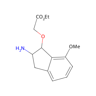 CCOC(=O)COC1c2c(cccc2OC)CC1N